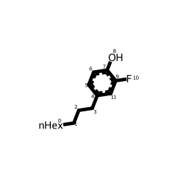 CCCCCCCCCc1ccc(O)c(F)c1